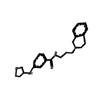 O=C(NCCCN1CCc2ccccc2C1)c1cccc(NC2CCOC2)c1